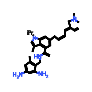 C=C/C(=C\C=C/Cc1cc(C(=C)NCc2c(C)cc(N)cc2N)c2c(C)cn(C(C)C)c2c1)CN(C)C